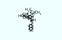 CCCN(CCC)c1c(F)c(N/N=C/c2ccc3ccccc3c2)nc(OCC(C)(C)O)c1F